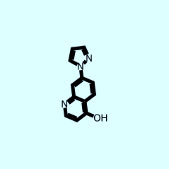 Oc1ccnc2cc(-n3cccn3)ccc12